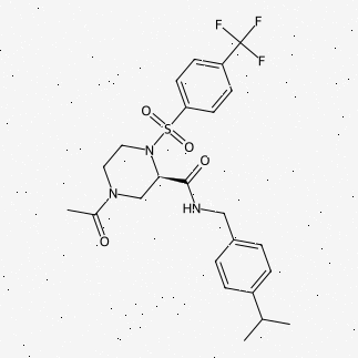 CC(=O)N1CCN(S(=O)(=O)c2ccc(C(F)(F)F)cc2)[C@@H](C(=O)NCc2ccc(C(C)C)cc2)C1